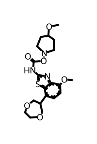 COc1ccc(C2COCCOC2)c2sc(NC(=O)ON3CCC(OC)CC3)nc12